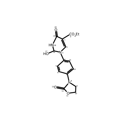 CCOC(=O)C1=CN(c2ccc(N3CCOC3=O)cc2)C(O)NC1=O